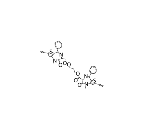 C#Cc1cc2c(s1)C(c1ccccc1)=NC(COOCCCOC(=O)C1N=C(c3ccccc3)c3sc(C#C)cc3N(C)C1=O)C(=O)N2C